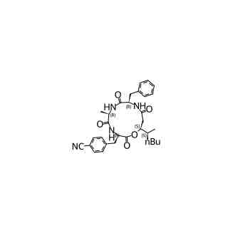 CCCC[C@H](C)[C@@H]1CC(=O)N[C@H](Cc2ccccc2)C(=O)N[C@H](C)C(=O)N[C@H](Cc2ccc(C#N)cc2)C(=O)O1